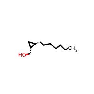 CCCCCCC[C@H]1C[C@H]1CO